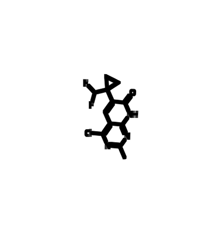 Cc1nc(Cl)c2cc(C3(C(F)F)CC3)c(=O)[nH]c2n1